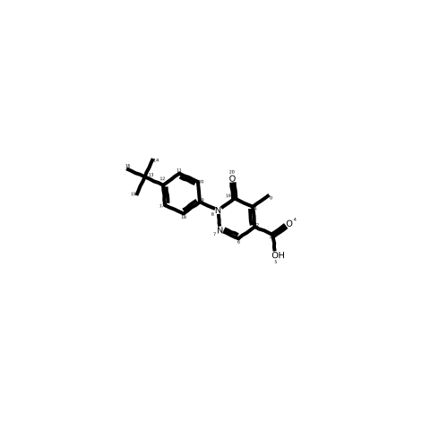 Cc1c(C(=O)O)cnn(-c2ccc(C(C)(C)C)cc2)c1=O